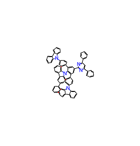 c1ccc(-c2ccc3c(c2)c2ccccc2n3-c2c(-c3ccc(-n4c5ccccc5c5ccccc54)cc3)cc(-c3nc(-c4ccccc4)cc(-c4ccccc4)n3)cc2-c2ccc(-n3c4ccccc4c4ccccc43)cc2)cc1